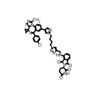 Cc1nnc2n1-c1ccc(-c3cnn(CCCCn4cc(CNc5cccc6c5C(=O)N(C5CCC(=O)NC5=O)C6=O)nn4)c3)cc1C(c1ccc(Cl)cc1)=NC21CC1